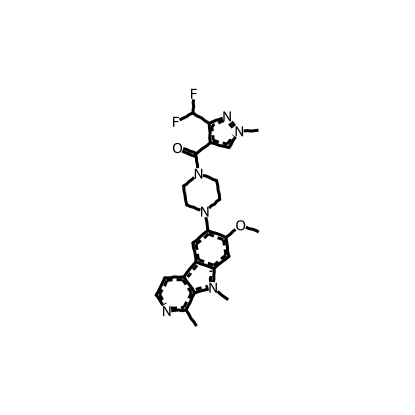 COc1cc2c(cc1N1CCN(C(=O)c3cn(C)nc3C(F)F)CC1)c1ccnc(C)c1n2C